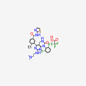 CCc1ccc(C(=O)Nc2nccs2)cc1-c1nc(NCCN(C)C)nc2c1CNC(=O)N2c1c(F)cccc1F.O=C(O)C(F)(F)F